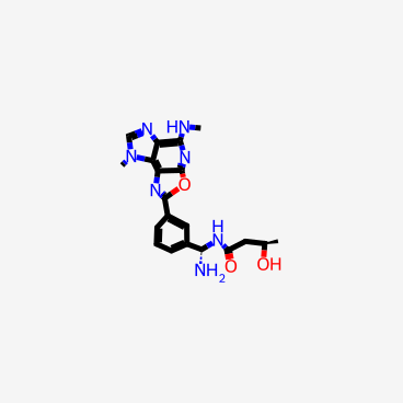 CNc1nc2oc(-c3cccc([C@@H](N)NC(=O)C[C@@H](C)O)c3)nc2c2c1ncn2C